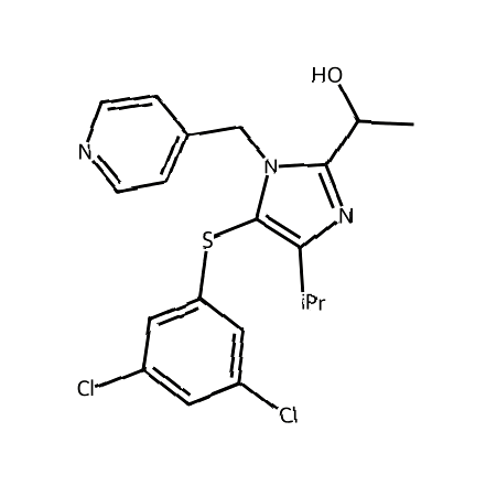 CC(C)c1nc(C(C)O)n(Cc2ccncc2)c1Sc1cc(Cl)cc(Cl)c1